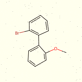 COc1ccccc1-c1ccc[c]c1Br